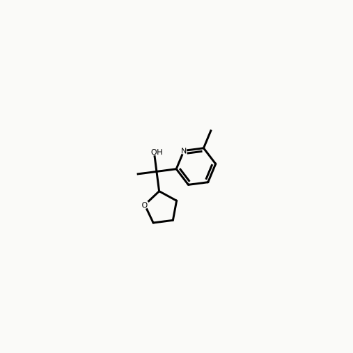 Cc1cccc(C(C)(O)C2CCCO2)n1